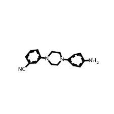 N#Cc1cccc(N2CCN(c3ccc(N)cc3)CC2)c1